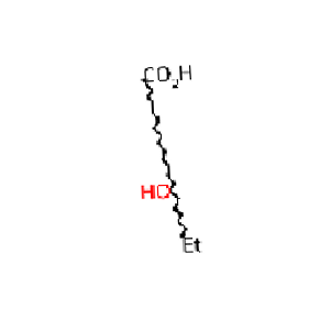 CCC=CCC=CCC(O)CCCCCCCCCCCCCCC(=O)O